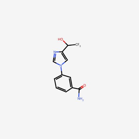 NC(=O)c1cccc(-n2cnc(C(O)C(F)(F)F)c2)c1